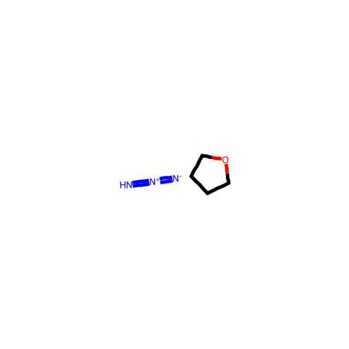 C1CCOC1.[N-]=[N+]=N